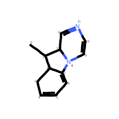 CC1C2CC=CC=C2N2C=CN=CC12